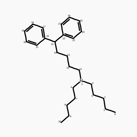 CCCCCN(CCCCC)CCCCC(c1ccccc1)c1ccccc1